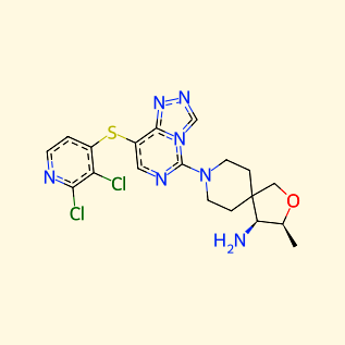 C[C@@H]1OCC2(CCN(c3ncc(Sc4ccnc(Cl)c4Cl)c4nncn34)CC2)[C@@H]1N